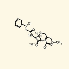 COCC1=C(C(=O)[O-])N2C(=O)C(NC(=O)C[S+]([O-])c3ccccc3)[C@@H]2SC1.[Na+]